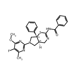 COc1nc(N2C[C@@H]3CN=C(NC(=O)c4ccccc4)S[C@@]3(c3ccccc3)C2)nc(C)c1F